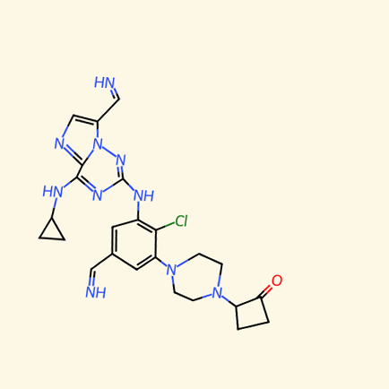 N=Cc1cc(Nc2nc(NC3CC3)c3ncc(C=N)n3n2)c(Cl)c(N2CCN(C3CCC3=O)CC2)c1